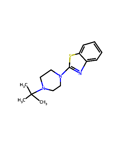 CC(C)(C)N1CCN(c2nc3ccccc3s2)CC1